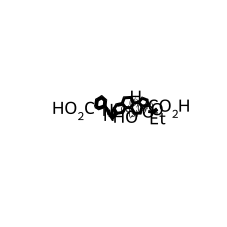 CCC(=O)O[C@]1(C(=O)O)CCC2[C@@H]3CCC4=Cc5c(cnn5-c5cccc(C(=O)O)c5)C[C@]4(C)C3[C@@H](O)C[C@@]21C